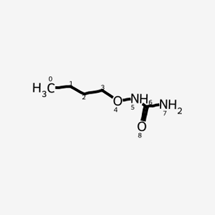 CCCCONC(N)=O